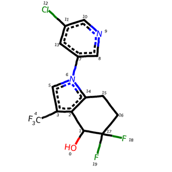 OC1c2c(C(F)(F)F)cn(-c3cncc(Cl)c3)c2CCC1(F)F